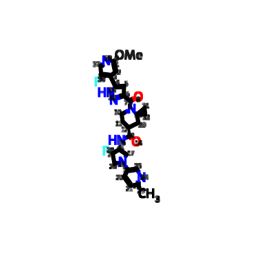 COc1cc(-c2cc(C(=O)N3CC[C@H](C(=O)N[C@@H]4CN(c5ccc(C)nc5)C[C@@H]4F)CC34CC4)n[nH]2)c(F)cn1